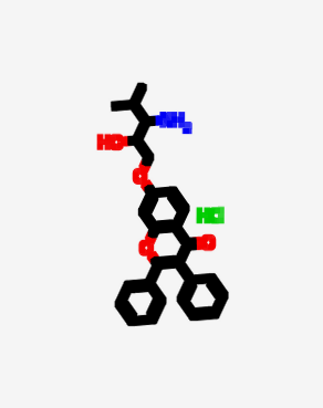 CC(C)C(N)C(O)COc1ccc2c(=O)c(-c3ccccc3)c(-c3ccccc3)oc2c1.Cl